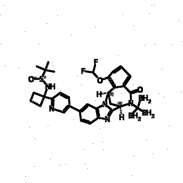 BC(B)(B)N1C(=O)c2cccc(OC(F)F)c2[C@H]2C[C@@H]1c1nc3ccc(-c4ccc(C5(N[S+]([O-])C(C)(C)C)CCC5)nc4)cc3n12